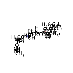 CC[N+]1=c2cc3c(cc2C(C)CC1(C)C)=C(c1ccccc1C(=O)N(C)CCCC(=O)NCCC(CC)(CC)c1ccc(/N=N/c2ccc(C(C)(CC)C(=O)NCc4ccc(-c5nnc(C)nn5)cc4)cc2)c(O)c1)c1cc2c4c(c1C3(C)C)CCCN4CCC2